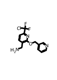 NCc1ccc(C(F)(F)Cl)nc1OCc1cccnc1